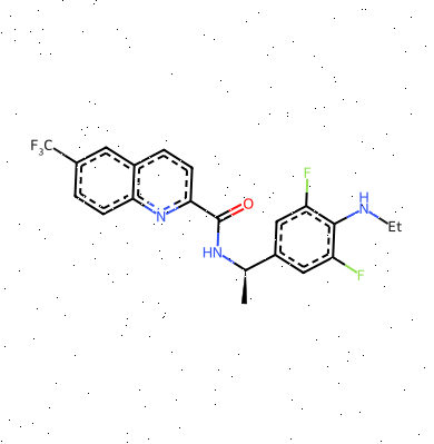 CCNc1c(F)cc([C@@H](C)NC(=O)c2ccc3cc(C(F)(F)F)ccc3n2)cc1F